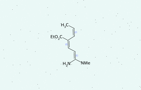 C\C=C/C(=C\C=C(/N)NC)C(=O)OCC